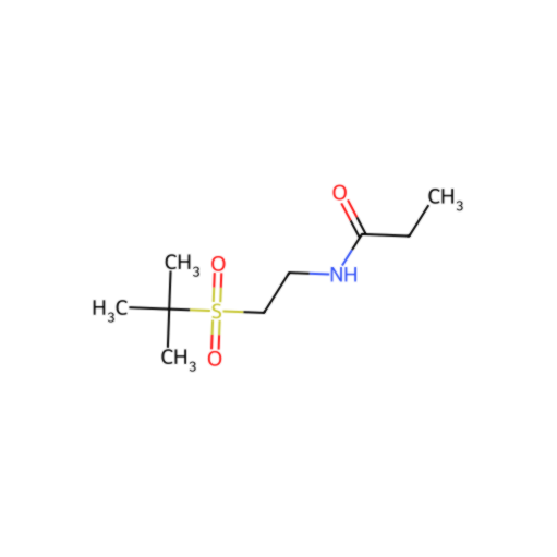 CCC(=O)NCCS(=O)(=O)C(C)(C)C